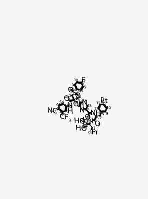 CC(C)C[C@H](NC(=O)[C@H](Cc1ccccc1)NC(=O)c1cnccn1)B(O)O.C[C@](O)(CS(=O)(=O)c1ccc(F)cc1)C(=O)Nc1ccc(C#N)c(C(F)(F)F)c1.[Pt]